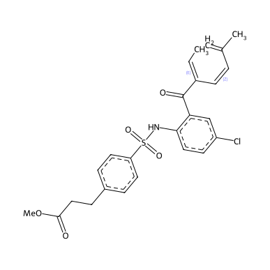 C=C(C)/C=C\C(=C/C)C(=O)c1cc(Cl)ccc1NS(=O)(=O)c1ccc(CCC(=O)OC)cc1